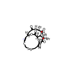 CC(C)[C@H]1NC(=O)C[C@H]2/C=C\CCSSC[C@@H](NC(=O)[C@@H](C(C)C)NC1=O)C(=O)N[C@@H]([C@@H](C)O)C(=O)O2